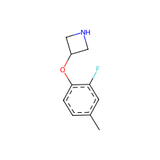 Cc1ccc(OC2CNC2)c(F)c1